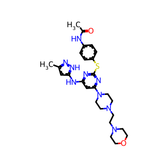 CC(=O)Nc1ccc(Sc2nc(Nc3cc(C)n[nH]3)cc(N3CCN(CCN4CCOCC4)CC3)n2)cc1